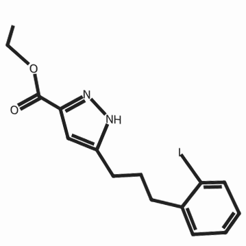 CCOC(=O)c1cc(CCCc2ccccc2I)[nH]n1